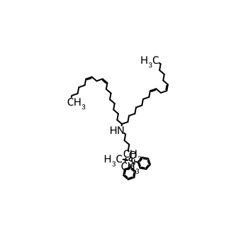 CCCCC/C=C\C/C=C\CCCCCCCC(CCCCCCC/C=C\C/C=C\CCCCC)NCCCCO[Si](c1ccccc1)(c1ccccc1)C(C)(C)C